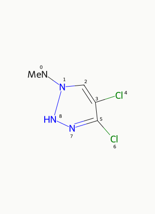 CNN1C=C(Cl)C(Cl)=NN1